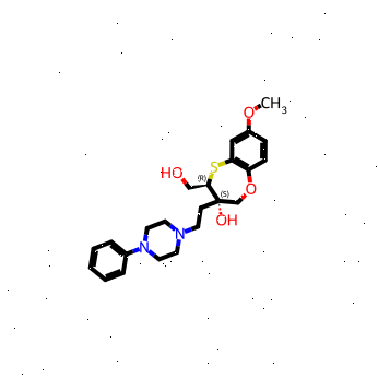 COc1ccc2c(c1)S[C@H](CO)[C@](O)(CCN1CCN(c3ccccc3)CC1)CO2